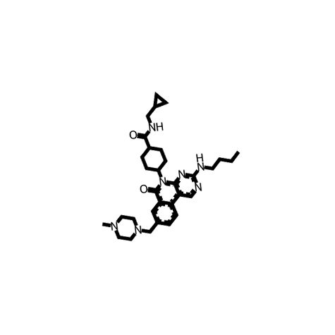 CCCCNc1ncc2c3ccc(CN4CCN(C)CC4)cc3c(=O)n(C3CCC(C(=O)NCC4CC4)CC3)c2n1